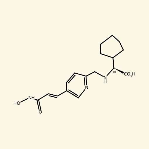 O=C(C=Cc1ccc(CN[C@H](C(=O)O)C2CCCCC2)nc1)NO